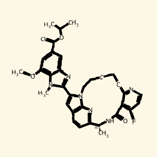 COc1cc(C(=O)OC(C)C)cc2nc(-c3cc4ccc5nc4n3CCCCCc3nccc(F)c3C(=O)N[C@@H]5C)n(C)c12